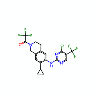 O=C(N1CCc2cc(Nc3ncc(C(F)(F)F)c(Cl)n3)c(C3CC3)cc2C1)C(F)(F)F